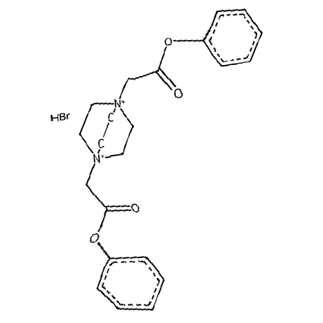 Br.O=C(C[N+]12CC[N+](CC(=O)Oc3ccccc3)(CC1)CC2)Oc1ccccc1